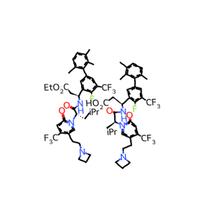 CCOC(=O)C[C@H](NC(=O)[C@H](CC(C)C)n1cc(CCN2CCC2)c(C(F)(F)F)cc1=O)c1cc(-c2c(C)ccc(C)c2C)cc(C(F)(F)F)c1F.Cc1ccc(C)c(-c2cc([C@H](CC(=O)O)NC(=O)[C@H](CC(C)C)n3cc(CCN4CCC4)c(C(F)(F)F)cc3=O)c(F)c(C(F)(F)F)c2)c1C